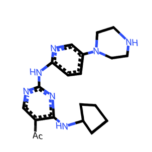 CC(=O)c1cnc(Nc2ccc(N3CCNCC3)cn2)nc1NC1CCCC1